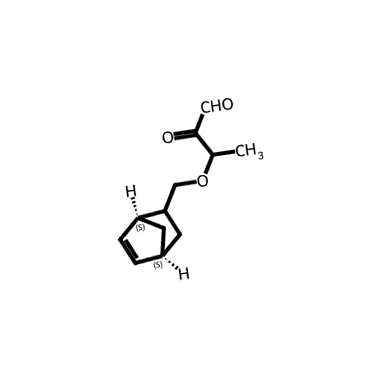 CC(OCC1C[C@H]2C=C[C@@H]1C2)C(=O)C=O